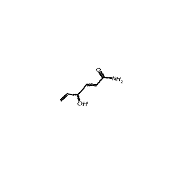 C=CC(O)/C=C/C(N)=O